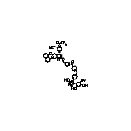 CC(C)c1cc(-c2nnc(O)n2-c2ccc(CN3CCC(C(=O)N4CC[C@@H](COc5nc6c(c(N7CCN(C(=O)C(F)(F)F)[C@@H](CC#N)C7)n5)CCN(c5cccc7cccc(Cl)c57)C6)C4)CC3)cc2)c(O)cc1O